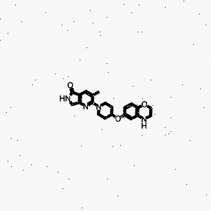 Cc1cc2c(nc1N1CCC(Oc3ccc4c(c3)NCCO4)CC1)CNC2=O